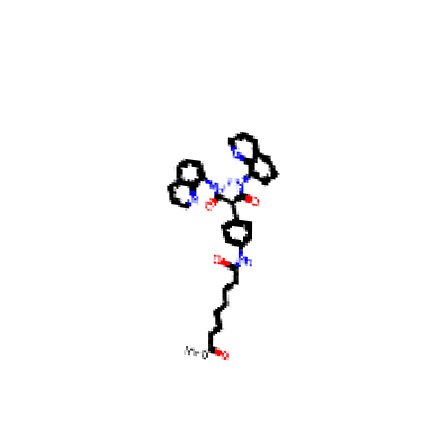 COC(=O)CCCCCCC(=O)Nc1ccc(C(C(=O)Nc2cccc3cccnc23)C(=O)Nc2cccc3cccnc23)cc1